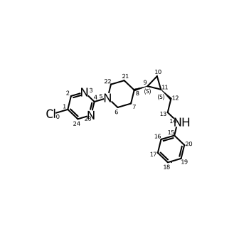 Clc1cnc(N2CCC([C@H]3C[C@H]3CCNc3cc[c]cc3)CC2)nc1